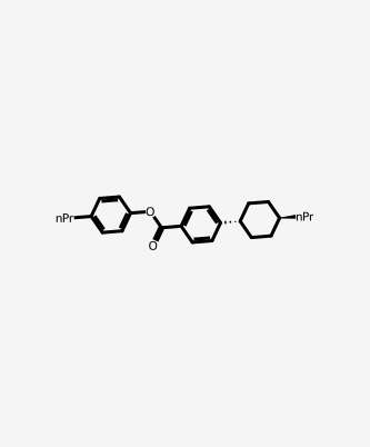 CCCc1ccc(OC(=O)c2ccc([C@H]3CC[C@H](CCC)CC3)cc2)cc1